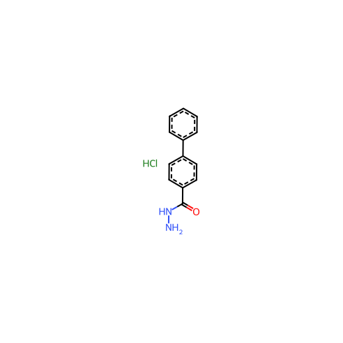 Cl.NNC(=O)c1ccc(-c2ccccc2)cc1